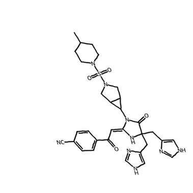 CC1CCN(S(=O)(=O)N2CC3C(C2)C3N2C(=O)C(Cc3c[nH]cn3)(Cc3c[nH]cn3)NC2=CC(=O)c2ccc(C#N)cc2)CC1